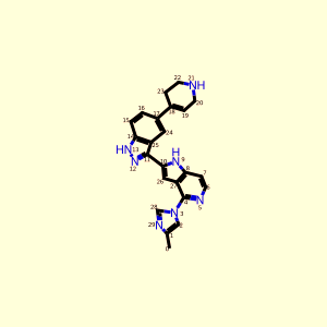 Cc1cn(-c2nccc3[nH]c(-c4n[nH]c5ccc(C6=CCNCC6)cc45)cc23)cn1